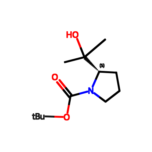 CC(C)(C)OC(=O)N1CCC[C@H]1C(C)(C)O